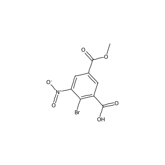 COC(=O)c1cc(C(=O)O)c(Br)c([N+](=O)[O-])c1